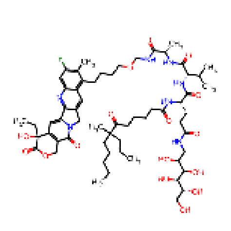 CCCCCC(C)(CCC)C(=O)CCCCC(=O)N[C@@H](CCC(=O)NC[C@H](O)[C@@H](O)[C@H](O)[C@H](O)CO)C(=O)N[C@H](C(=O)N[C@@H](C)C(=O)NCOCCCCc1c(C)c(F)cc2nc3c(cc12)Cn1c-3cc2c(c1=O)COC(=O)[C@]2(O)CC)C(C)C